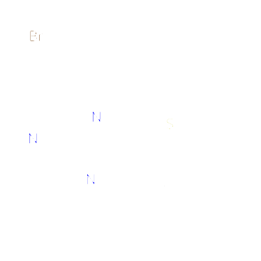 Brc1cnc2nc3c4ccccc4sc3n2c1